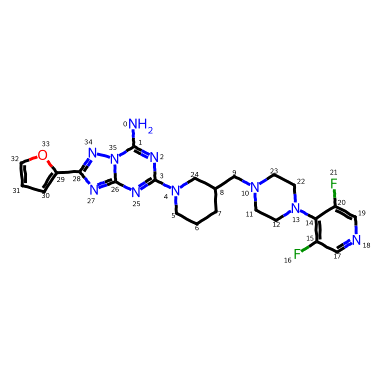 Nc1nc(N2CCCC(CN3CCN(c4c(F)cncc4F)CC3)C2)nc2nc(-c3ccco3)nn12